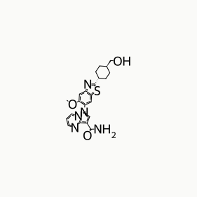 COc1cc2nc([C@H]3CC[C@H](CO)CC3)sc2cc1-n1cc(C(N)=O)c2nccc[n+]21